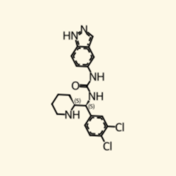 O=C(Nc1ccc2[nH]ncc2c1)N[C@@H](c1ccc(Cl)c(Cl)c1)[C@@H]1CCCCN1